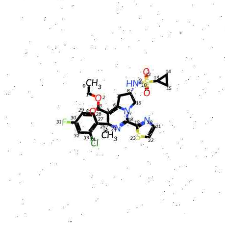 CCOC(=O)C1=C2C[C@H](NS(=O)(=O)C3CC3)CN2C(c2nccs2)=N[C@@]1(C)c1ccc(F)cc1Cl